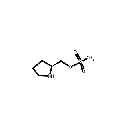 CS(=O)(=O)OC[C@@H]1CCCN1